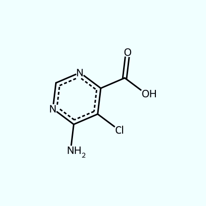 Nc1ncnc(C(=O)O)c1Cl